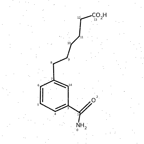 NC(=O)c1cccc(CCCCCC(=O)O)c1